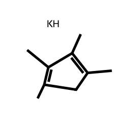 CC1=C(C)C(C)=C(C)C1.[KH]